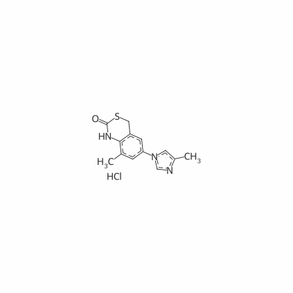 Cc1cn(-c2cc(C)c3c(c2)CSC(=O)N3)cn1.Cl